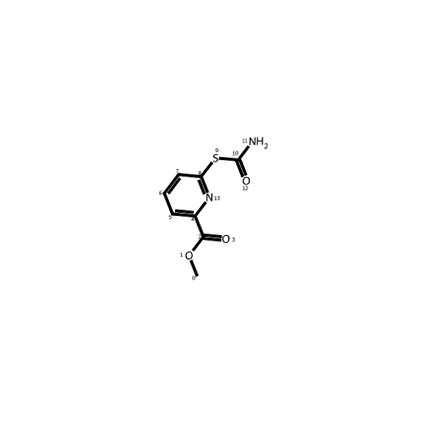 COC(=O)c1cccc(SC(N)=O)n1